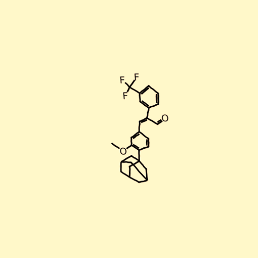 COc1cc(/C=C(\C=O)c2cccc(C(F)(F)F)c2)ccc1C12CC3CC(CC(C3)C1)C2